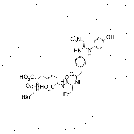 CC(C)CC(NC(=O)Cc1ccc(N/C(=C\[N+](=O)[O-])Nc2ccc(O)cc2)cc1)C(=O)NC(C/C=C/CC(NC(=O)CC(C)(C)C)C(=O)O)C(=O)O